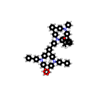 CC1(C)c2ccccc2-c2ccc(N(c3ccccc3)c3ccc(-c4ccccc4-c4ccc(N(c5ccc(-c6ccc(-c7ccc(N(c8ccc(-c9ccccc9)cc8)c8ccc(-c9ccccc9)cc8)cc7)c(-c7ccc(N(c8ccc(-c9ccccc9)cc8)c8ccc(-c9ccccc9)cc8)cc7)c6)cc5)c5ccc6c(c5)C(C)(C)c5ccccc5-6)cc4)cc3)cc21